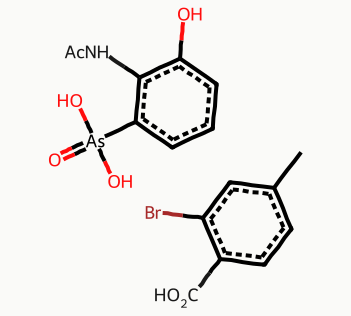 CC(=O)Nc1c(O)cccc1[As](=O)(O)O.Cc1ccc(C(=O)O)c(Br)c1